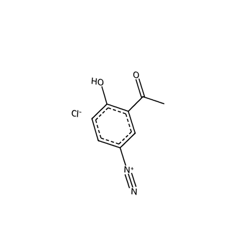 CC(=O)c1cc([N+]#N)ccc1O.[Cl-]